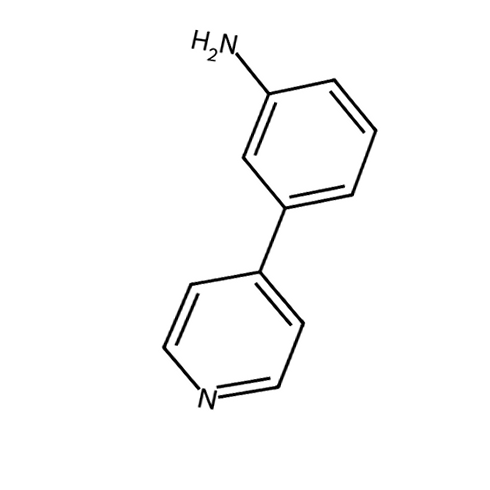 Nc1cccc(-c2ccncc2)c1